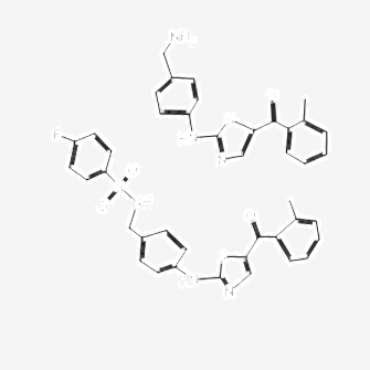 Cc1ccccc1C(=O)c1cnc(Nc2ccc(CN)cc2)s1.Cc1ccccc1C(=O)c1cnc(Nc2ccc(CNS(=O)(=O)c3ccc(F)cc3)cc2)s1